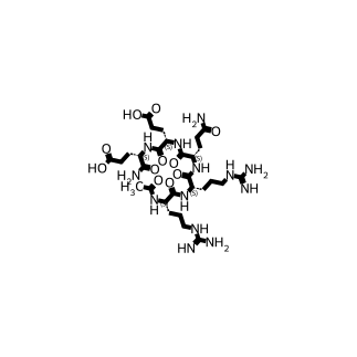 CC(=O)N[C@@H](CCCNC(=N)N)C(=O)N[C@@H](CCCNC(=N)N)C(=O)N[C@@H](CCC(N)=O)C(=O)N[C@@H](CCC(=O)O)C(=O)N[C@@H](CCC(=O)O)C(N)=O